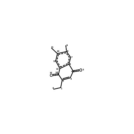 CCC1=CC(=O)c2cc(C)c(C)cc2C1=O